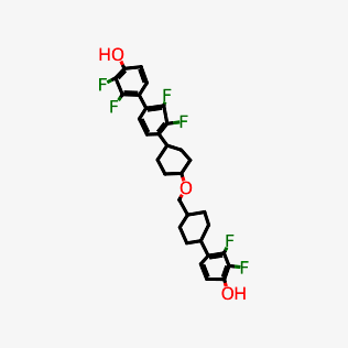 Oc1ccc(-c2ccc(C3CCC(OCC4CCC(c5ccc(O)c(F)c5F)CC4)CC3)c(F)c2F)c(F)c1F